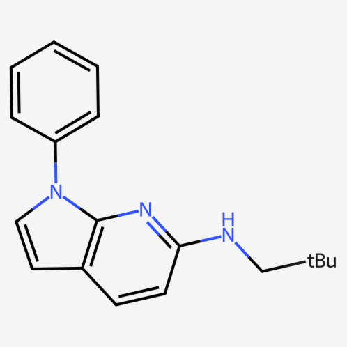 CC(C)(C)CNc1ccc2ccn(-c3ccccc3)c2n1